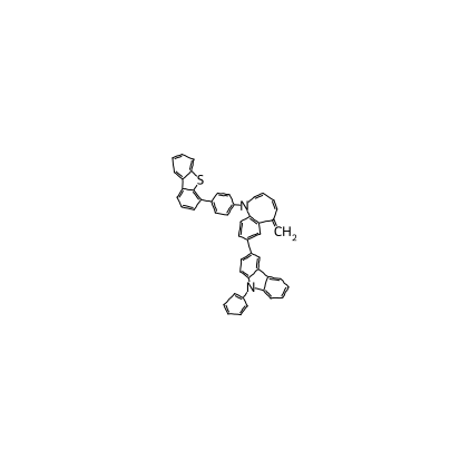 C=C1/C=C\C=C/N(c2ccc(-c3cccc4c3sc3ccccc34)cc2)c2ccc(-c3ccc4c(c3)c3ccccc3n4-c3ccccc3)cc21